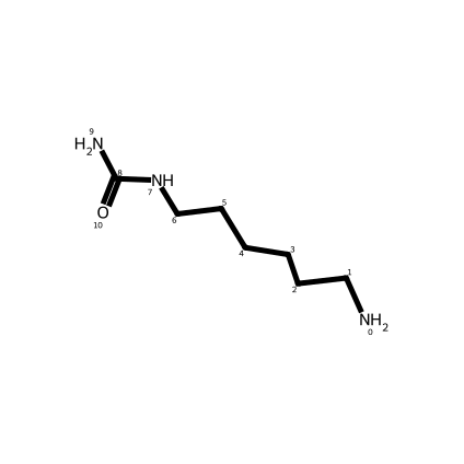 NCCCCCCNC(N)=O